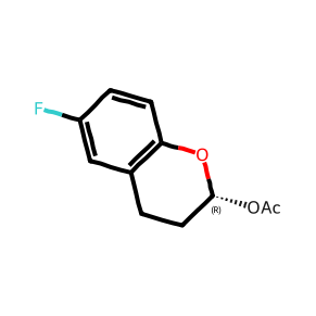 CC(=O)O[C@@H]1CCc2cc(F)ccc2O1